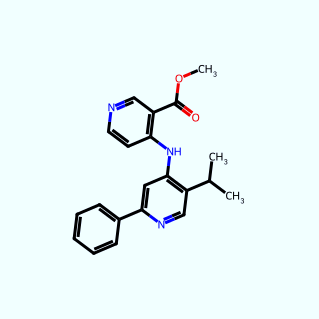 COC(=O)c1cnccc1Nc1cc(-c2ccccc2)ncc1C(C)C